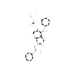 CCOC(=O)Oc1cnc2c(cnn2CC(Cl)c2ccccc2)c1Nc1ccccc1